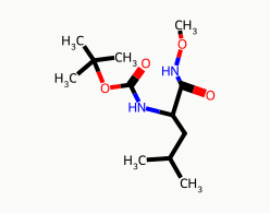 CONC(=O)C(CC(C)C)NC(=O)OC(C)(C)C